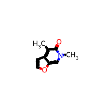 Cc1c(=O)n(C)cc2occc12